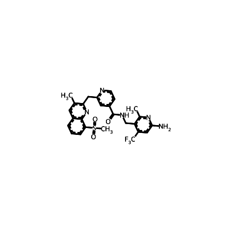 Cc1cc2cccc(S(C)(=O)=O)c2nc1Cc1cc(C(=O)NCc2c(C(F)(F)F)cc(N)nc2C)ccn1